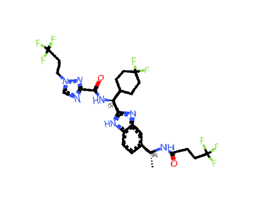 C[C@@H](NC(=O)CCC(F)(F)F)c1ccc2[nH]c([C@@H](NC(=O)c3ncn(CCC(F)(F)F)n3)C3CCC(F)(F)CC3)nc2c1